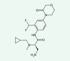 CN(CC1CC1)[C@H](CN)C(=O)Nc1ccc(N2CCOCC2=O)cc1C(F)F